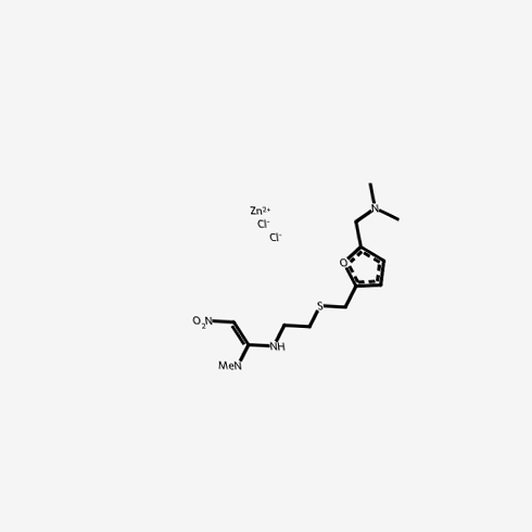 CNC(=C[N+](=O)[O-])NCCSCc1ccc(CN(C)C)o1.[Cl-].[Cl-].[Zn+2]